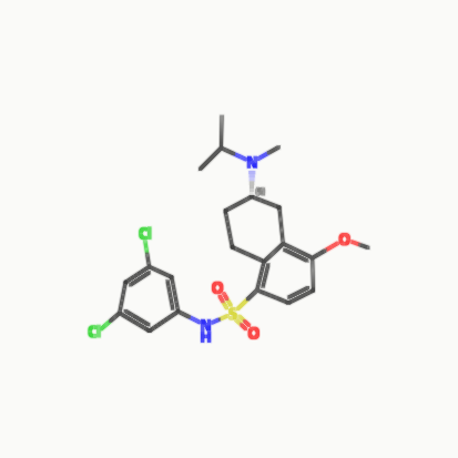 COc1ccc(S(=O)(=O)Nc2cc(Cl)cc(Cl)c2)c2c1C[C@@H](N(C)C(C)C)CC2